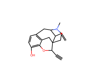 C#CC1Oc2c(O)ccc3c2CC12CCN(C)C(C3)C2C=C